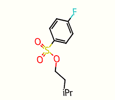 CC(C)CCOS(=O)(=O)c1ccc(F)cc1